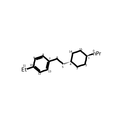 CCC[C@H]1CC[C@H](CCc2ccc(CC)cc2)CC1